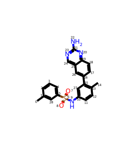 Cc1cccc(S(=O)(=O)Nc2ccc(C)c(-c3ccc4nc(N)ncc4c3)c2)c1